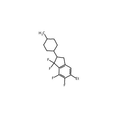 CCc1cc2c(c(F)c1F)C(F)(F)C(C1CCC(C)CC1)C2